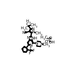 CN1CCN(c2nc(-c3ccccc3C(F)(F)F)cc3nc(-c4c(C#N)c(C(C)(C)C)nn4C)[nH]c23)CC1.CS(=O)(=O)O